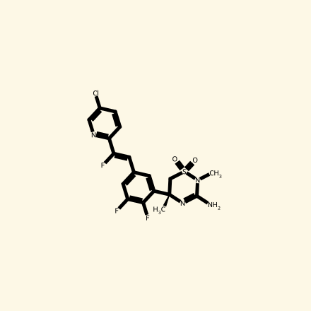 CN1C(N)=N[C@](C)(c2cc(/C=C(\F)c3ccc(Cl)cn3)cc(F)c2F)CS1(=O)=O